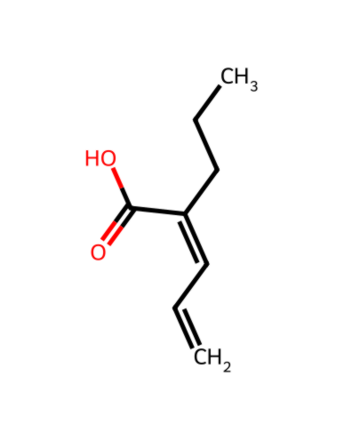 C=CC=C(CCC)C(=O)O